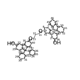 Oc1ccc(C2(c3ccc(OCCCOc4ccc(C5(c6ccc(O)cc6)c6ccccc6-c6ccccc65)cc4)cc3)c3ccccc3-c3ccccc32)cc1